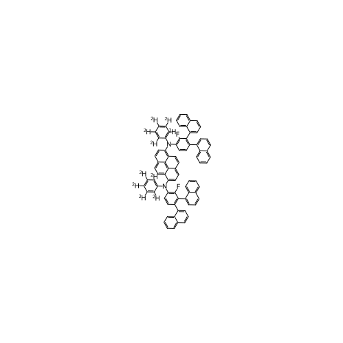 [2H]c1c([2H])c([2H])c(N(c2ccc(-c3cccc4ccccc34)c(-c3cccc4ccccc34)c2F)c2ccc3ccc4c(N(c5ccc(-c6cccc7ccccc67)c(-c6cccc7ccccc67)c5F)c5c([2H])c([2H])c([2H])c([2H])c5[2H])ccc5ccc2c3c54)c([2H])c1[2H]